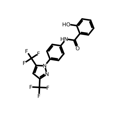 O=C(Nc1ccc(-n2nc(C(F)(F)F)cc2C(F)(F)F)cc1)c1ccccc1O